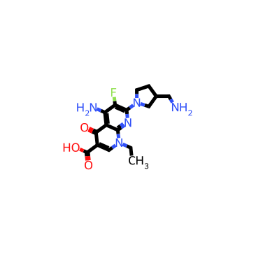 CCn1cc(C(=O)O)c(=O)c2c(N)c(F)c(N3CCC(CN)C3)nc21